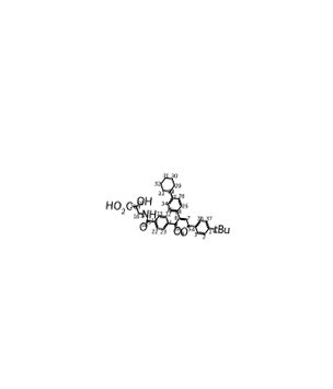 CC(C)(C)c1ccc(C(=O)/C=C(\C(=O)c2ccc(C(=O)NCC(O)C(=O)O)cc2)c2ccc(C3CCCCC3)cc2)cc1